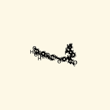 CC(=O)N1CCc2c(c(N3CCCc4cc(-c5cnn(C)c5)c(C(F)F)cc43)nn2C2CCN(C(=O)CCCN3CCN(CC(=O)Nc4cccc(NC5CCC(=O)NC5=O)c4)CC3)CC2)C1